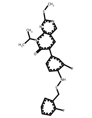 CSc1ncc2cc(-c3ccc(NSCc4ccccc4F)c(F)c3)c(=O)n(C(C)C)c2n1